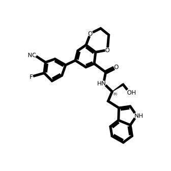 N#Cc1cc(-c2cc3c(c(C(=O)N[C@@H](CO)Cc4c[nH]c5ccccc45)c2)OCCO3)ccc1F